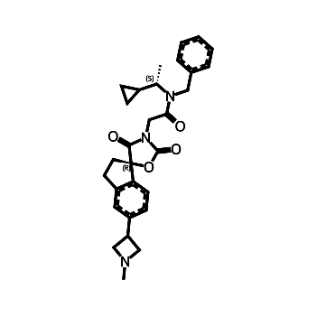 C[C@@H](C1CC1)N(Cc1ccccc1)C(=O)CN1C(=O)O[C@@]2(CCc3cc(C4CN(C)C4)ccc32)C1=O